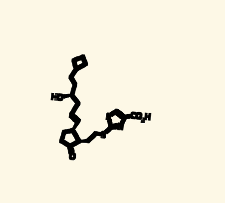 O=C(O)c1csc(SCC[C@H]2C(=O)CC[C@H]2/C=C/C[C@@H](O)CCC2CCC2)n1